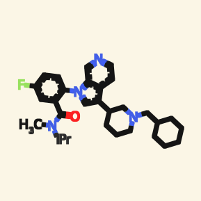 CC(C)N(C)C(=O)c1cc(F)ccc1-n1cc(C2CCCN(CC3CCCCC3)C2)c2ccncc21